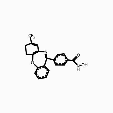 O=C(NO)c1ccc(C2=NC3=C(CCC(C(F)(F)F)=C3)Oc3ccccc32)cc1